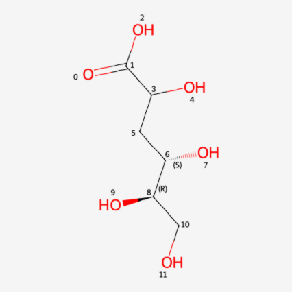 O=C(O)C(O)C[C@H](O)[C@H](O)CO